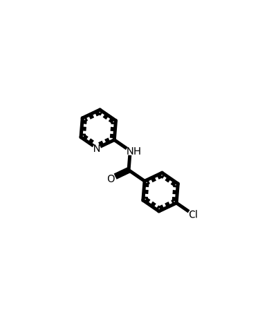 O=C(Nc1ccccn1)c1ccc(Cl)cc1